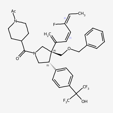 C=C(/C=C\C(F)=C/C)[C@@]1(COCc2ccccc2)CN(C(=O)C2CCN(C(C)=O)CC2)C[C@H]1c1ccc(C(O)(C(F)(F)F)C(F)(F)F)cc1